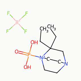 CCC1(CC)CN2CC[N+]1(P(=O)(O)O)CC2.F[B-](F)(F)F